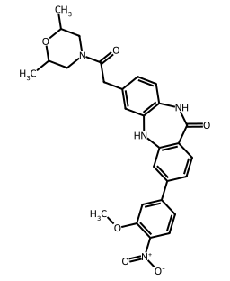 COc1cc(-c2ccc3c(c2)Nc2cc(CC(=O)N4CC(C)OC(C)C4)ccc2NC3=O)ccc1[N+](=O)[O-]